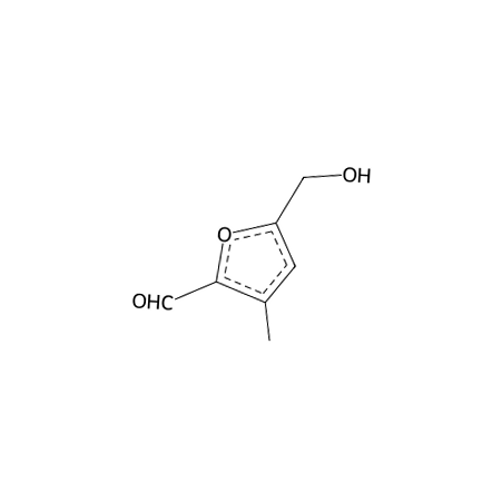 Cc1cc(CO)oc1C=O